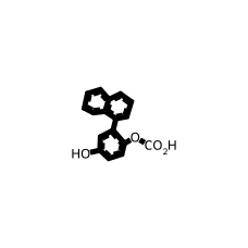 O=C(O)Oc1ccc(O)cc1-c1cccc2ccccc12